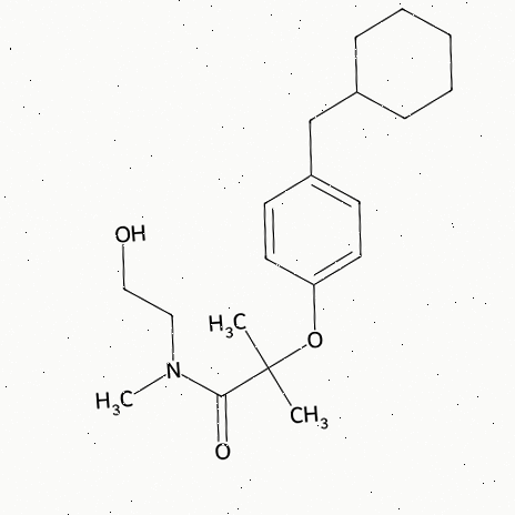 CN(CCO)C(=O)C(C)(C)Oc1ccc(CC2CCCCC2)cc1